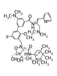 COc1c(CN2O[C@@H](CO)[C@@H]([C@H](C)O)[C@H]2C(=O)N[C@H]2C[C@@H](C)C(C)(C)[C@@H](C)[C@@H]2C)cc(F)cc1-c1cc(C(=O)N[C@@H](Cc2ccccn2)CN(C)C)cc(N(C)C)c1